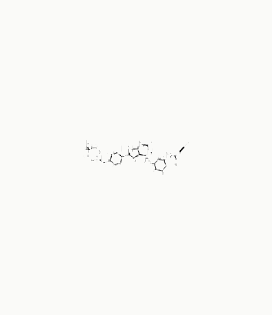 CC#CC(=O)Nc1cccc(Oc2ncnc3[nH]c(-c4ccc(CN5CCC(F)(F)CC5)cc4)cc23)c1